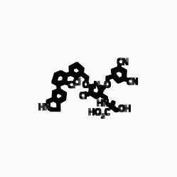 C[C@](CO)(NCc1cc(Cl)c(OCc2cccc(-c3cccc(-c4ccc5c(c4)CNCC5)c3Cl)c2Cl)nc1OCc1cc(C#N)cc(C#N)c1)C(=O)O